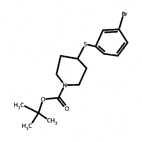 CC(C)(C)OC(=O)N1CCC(Sc2cccc(Br)c2)CC1